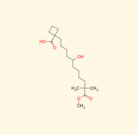 COC(=O)C(C)(C)CCCCC(O)CCCCC1(C(=O)O)CCC1